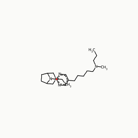 CCCN(C)CCCCCc1cnc(N2C3CCC2CN(CC)C3)nc1